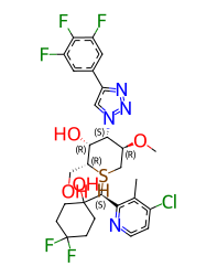 CO[C@H]1C[SH]([C@@H](c2nccc(Cl)c2C)C2(O)CCC(F)(F)CC2)[C@H](CO)[C@H](O)[C@@H]1n1cc(-c2cc(F)c(F)c(F)c2)nn1